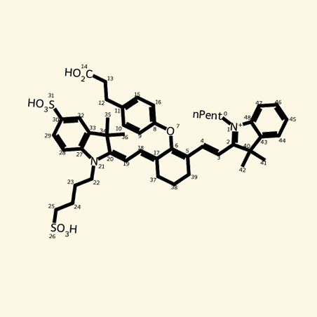 CCCCC[N+]1=C(/C=C/C2=C(Oc3ccc(CCC(=O)O)cc3)C(=C/C=C3/N(CCCCS(=O)(=O)O)c4ccc(S(=O)(=O)O)cc4C3(C)C)/CCC2)C(C)(C)c2ccccc21